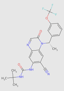 C[C@@H](c1cccc(OC(F)(F)F)c1)n1c(=O)cnc2cc(NC(=O)NC(C)(C)C)c(C#N)cc21